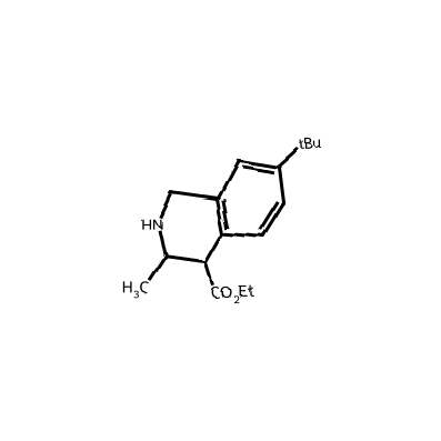 CCOC(=O)C1c2ccc(C(C)(C)C)cc2CNC1C